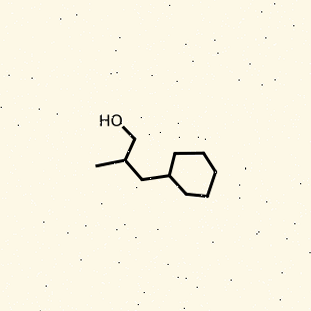 CC(CO)CC1CCCCC1